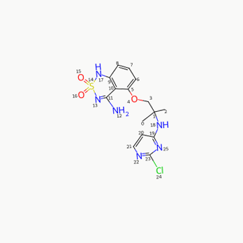 CC(C)(COc1cccc2c1C(N)=NS(=O)(=O)N2)Nc1ccnc(Cl)n1